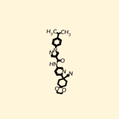 CC(C)c1ccc(-n2cc(C(=O)Nc3ccc(C4(C#N)CCC5(CC4)OCCO5)nc3)cn2)cc1